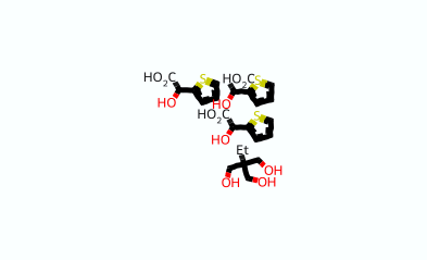 CCC(CO)(CO)CO.O=C(O)C(O)c1cccs1.O=C(O)C(O)c1cccs1.O=C(O)C(O)c1cccs1